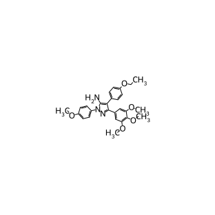 CCOc1ccc(-c2c(-c3cc(OC)c(OC)c(OC)c3)nn(-c3ccc(OC)cc3)c2N)cc1